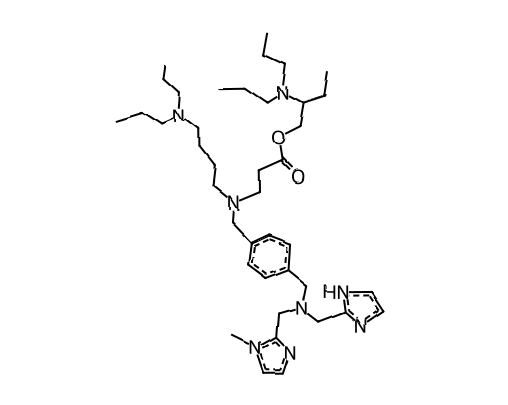 CCCN(CCC)CCCCN(CCC(=O)OCC(CC)N(CCC)CCC)Cc1ccc(CN(Cc2ncc[nH]2)Cc2nccn2C)cc1